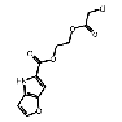 O=C(CCl)OCCOC(=O)c1cc2occc2[nH]1